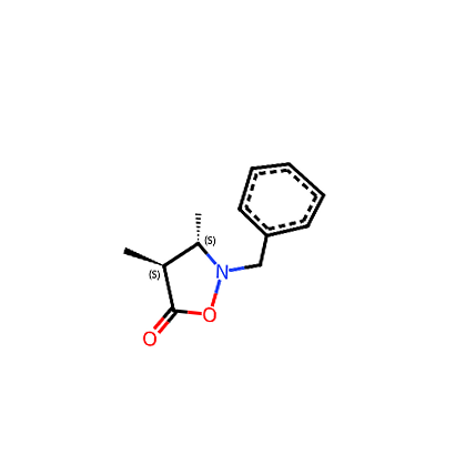 C[C@@H]1C(=O)ON(Cc2ccccc2)[C@H]1C